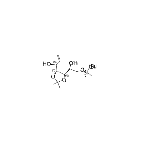 C=C[C@H](O)[C@@H]1OC(C)(C)O[C@@H]1C(O)CO[Si](C)(C)C(C)(C)C